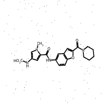 Cn1cc(NC(=O)O)cc1C(=O)Nc1ccc2oc(C(=O)N3CCCCC3)cc2c1